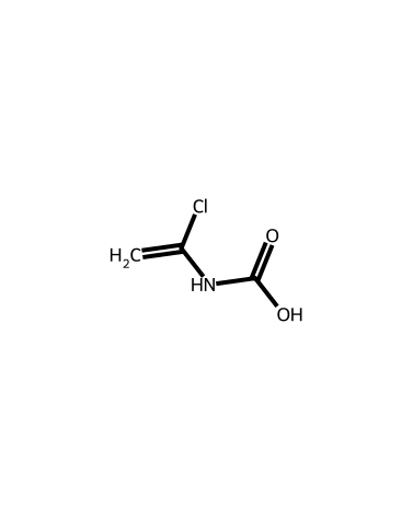 C=C(Cl)NC(=O)O